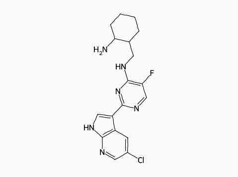 NC1CCCCC1CNc1nc(-c2c[nH]c3ncc(Cl)cc23)ncc1F